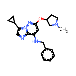 CN1CCC(Oc2cc(NCc3ccccc3)c3ncc(C4CC4)n3n2)C1